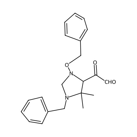 CC1(C)C(C(=O)C=O)N(OCc2ccccc2)CN1Cc1ccccc1